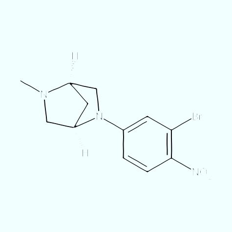 CN1C[C@H]2C[C@@H]1CN2c1ccc([N+](=O)[O-])c(Br)c1